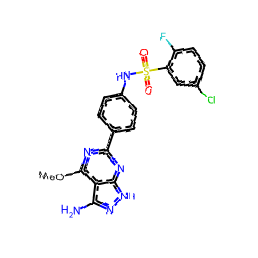 COc1nc(-c2ccc(NS(=O)(=O)c3cc(Cl)ccc3F)cc2)nc2[nH]nc(N)c12